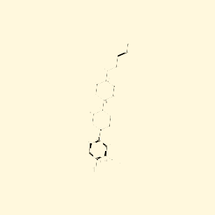 C/C=C/CCC1CCC(C2CCC(c3ccc(F)c(F)c3)CC2)CC1